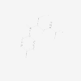 O=C(NC(CCl)C(=O)c1ccc(Cl)cc1)C(Cl)Cl